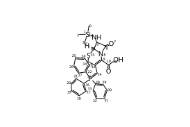 C[Si](C)(C)NC1C(=O)N2C(C(=O)O)=C(C=P(c3ccccc3)(c3ccccc3)c3ccccc3)CS[C@@H]12